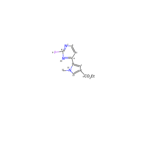 CCOC(=O)c1cc(-c2ccnc(I)n2)n(C)c1